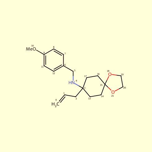 C=CCC1(NCc2ccc(OC)cc2)CCC2(CC1)OCCO2